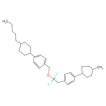 CCCCCC1CCC(c2ccc(COC(F)(F)Cc3ccc(C4CCC(C)CC4)cc3)cc2)CC1